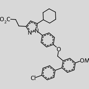 COc1ccc(-c2ccc(Cl)cc2)c(COc2ccc(-n3nc(CCC(=O)O)cc3C3CCCCC3)cc2)c1